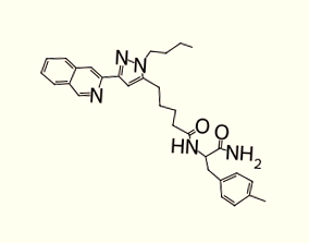 CCCCn1nc(-c2cc3ccccc3cn2)cc1CCCCC(=O)NC(Cc1ccc(C)cc1)C(N)=O